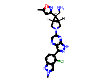 Cc1cc([C@]2(CN)[C@@H]3CN(c4cnc5c(-c6ccc7nn(C)cc7c6Cl)n[nH]c5n4)C[C@@H]32)no1